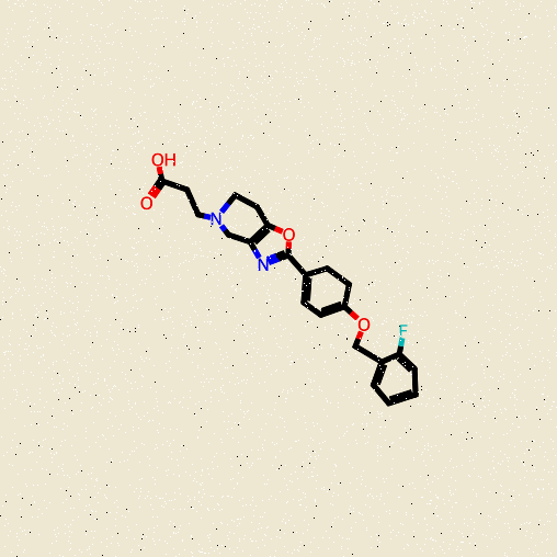 O=C(O)CCN1CCc2oc(C3=CC=C(OCc4ccccc4F)CC3)nc2C1